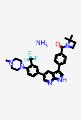 CN1CCN(c2ccc(-c3cnc4[nH]cc(-c5ccc(C(=O)N6CCC6(C)C)cc5)c4c3)cc2C(F)(F)F)CC1.N